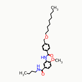 CCCCCCCCCOCc1ccc(C(=O)Nc2cc(C(=O)NCCCC)ccc2OC)cc1